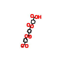 COC(=O)c1ccc(OC(=O)c2ccc(C(=O)OC3CCC(C(=O)O)CC3)cc2)cc1